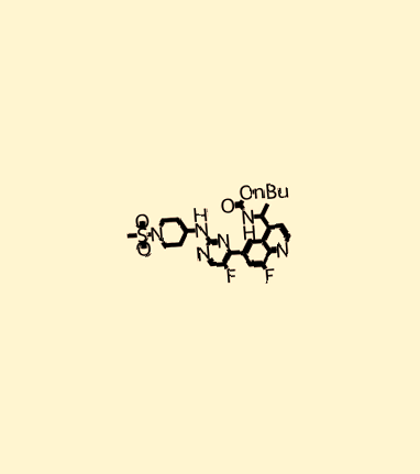 CCCCOC(=O)NC(C)c1ccnc2c(F)cc(-c3nc(NC4CCN(S(C)(=O)=O)CC4)ncc3F)cc12